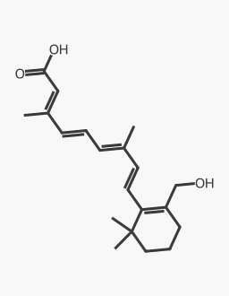 CC(C=CC1=C(CO)CCCC1(C)C)=CC=CC(C)=CC(=O)O